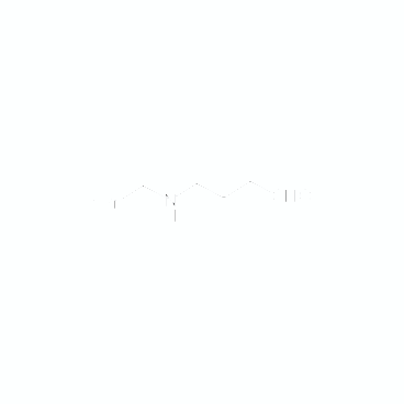 [CH2]CCCNCCCC=O